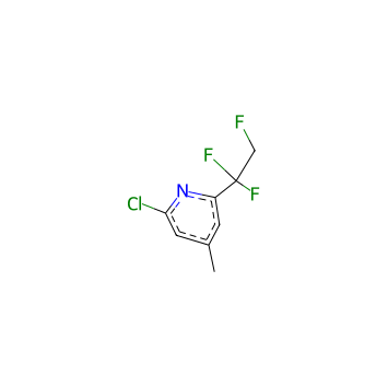 Cc1cc(Cl)nc(C(F)(F)CF)c1